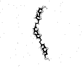 Cc1cc2oc3cc(CCc4cc5sc6cc(CCc7cc8sc9cc(C)oc9c8o7)oc6c5o4)oc3c2o1